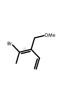 C=C/C(COC)=C(\C)Br